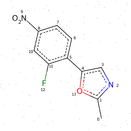 Cc1ncc(-c2ccc([N+](=O)[O-])cc2F)o1